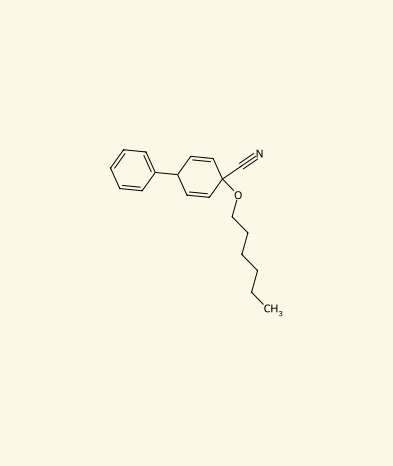 CCCCCCOC1(C#N)C=CC(c2ccccc2)C=C1